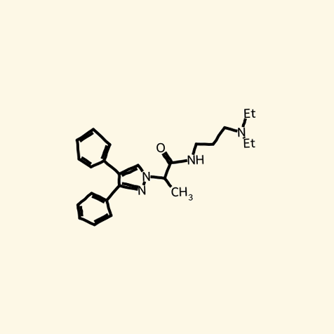 CCN(CC)CCCNC(=O)C(C)n1cc(-c2ccccc2)c(-c2ccccc2)n1